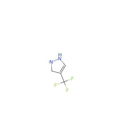 FC(F)(F)C1=CN[N]C1